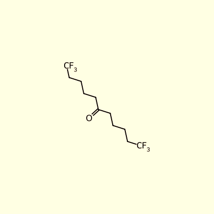 O=C(CCCCC(F)(F)F)CCCCC(F)(F)F